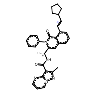 Cc1nn2cccnc2c1C(=O)N[C@H](C)c1cc2cccc(/C=C/C3CCCC3)c2c(=O)n1-c1ccccc1